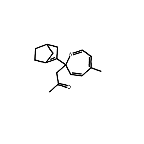 CC(=O)CC1(C2=C3CCC(C3)C2)C=CC(C)=CC=N1